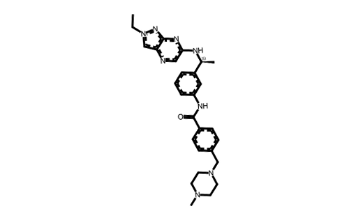 CCn1cc2ncc(N[C@@H](C)c3cccc(NC(=O)c4ccc(CN5CCN(C)CC5)cc4)c3)nc2n1